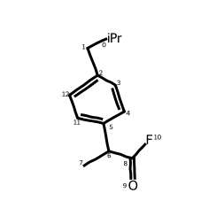 CC(C)Cc1ccc(C(C)C(=O)F)cc1